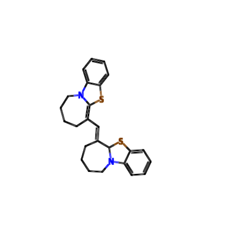 C(=C1CCCCN2c3ccccc3SC12)C1=C2Sc3ccccc3N2CCCC1